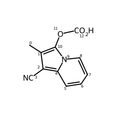 Cc1c(C#N)c2ccccn2c1OC(=O)O